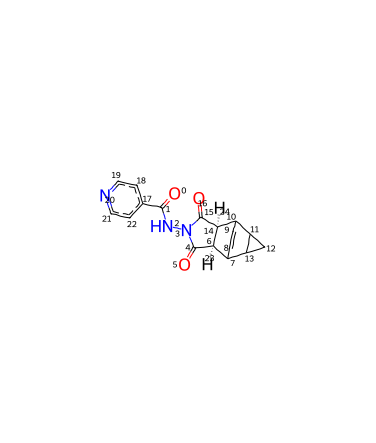 O=C(NN1C(=O)[C@@H]2C3C=CC(C4CC43)[C@@H]2C1=O)c1ccncc1